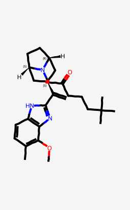 C=C(c1nc2c(OC)c(C)ccc2[nH]1)[C@@H]1C[C@H]2CC[C@@H](C1)N2CC(=O)CCCC(C)(C)C